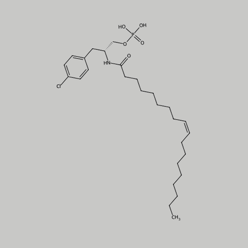 CCCCCCCC/C=C\CCCCCCCC(=O)N[C@@H](COP(=O)(O)O)Cc1ccc(Cl)cc1